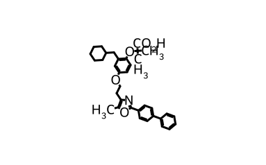 Cc1oc(-c2ccc(-c3ccccc3)cc2)nc1CCOc1ccc(OC(C)(C)C(=O)O)c(CC2CCCCC2)c1